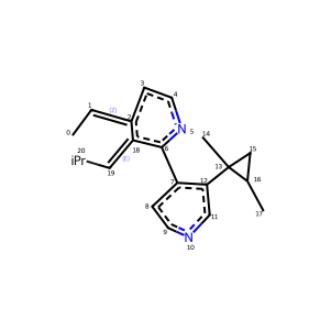 C/C=c1/ccnc(-c2ccncc2C2(C)CC2C)/c1=C/C(C)C